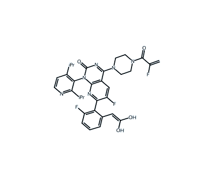 C=C(F)C(=O)N1CCN(c2nc(=O)n(-c3c(C(C)C)ccnc3C(C)C)c3nc(-c4c(F)cccc4C=C(O)O)c(F)cc23)CC1